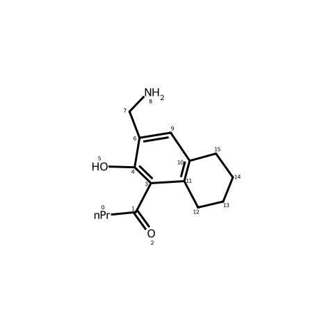 CCCC(=O)c1c(O)c(CN)cc2c1CCCC2